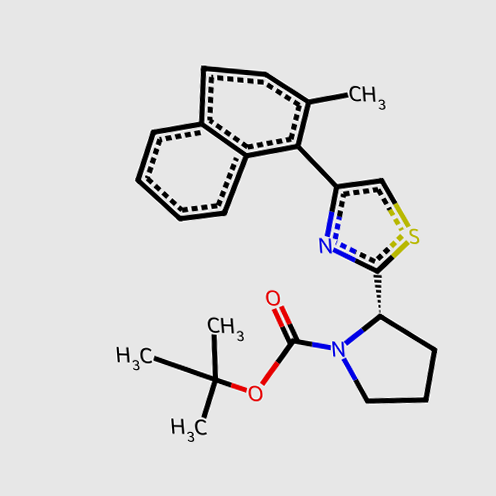 Cc1ccc2ccccc2c1-c1csc([C@@H]2CCCN2C(=O)OC(C)(C)C)n1